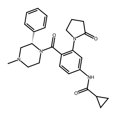 CN1CCN(C(=O)c2ccc(NC(=O)C3CC3)cc2N2CCCC2=O)[C@@H](c2ccccc2)C1